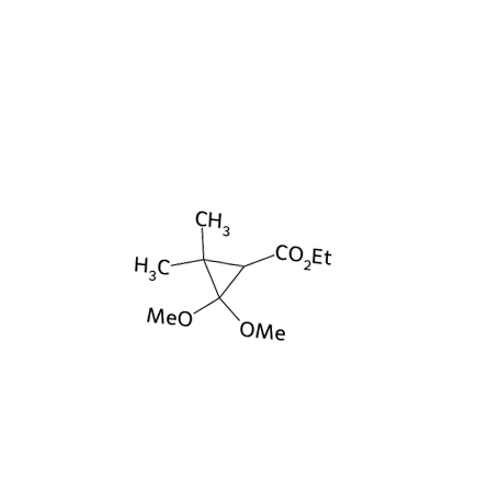 CCOC(=O)C1C(C)(C)C1(OC)OC